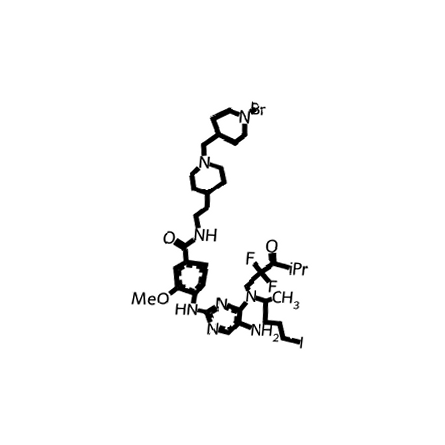 COc1cc(C(=O)NCCC2CCN(CC3CCN(Br)CC3)CC2)ccc1Nc1ncc(N)c(N(CC(F)(F)C(=O)C(C)C)C(C)CCCI)n1